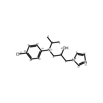 CC(C)N(CC(O)Cn1ccnc1)c1ccc(Cl)cc1